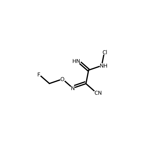 N#CC(=NOCF)C(=N)NCl